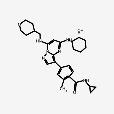 Cc1cc(-c2cnn3c(NCC4CCOCC4)cc(N[C@H]4CCCC[C@H]4O)nc23)ccc1C(=O)NC1CC1